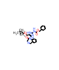 C[Si](C)(C)CCOCC1=C(N2C(=O)C=NCc3ccccc32)NC(NC(=O)OCc2ccccc2)N1